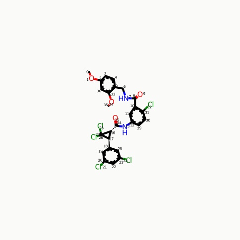 COc1ccc(CNC(=O)c2cc(NC(=O)[C@@H]3[C@@H](c4cc(Cl)cc(Cl)c4)C3(Cl)Cl)ccc2Cl)c(OC)c1